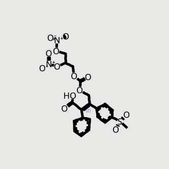 CS(=O)(=O)c1ccc(/C(COC(=O)OCC(CO[N+](=O)[O-])O[N+](=O)[O-])=C(/C(=O)O)c2ccccc2)cc1